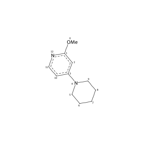 COc1cc(N2CC[CH]CC2)ccn1